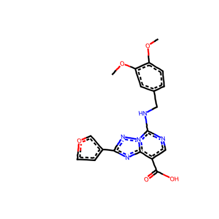 COc1ccc(CNc2ncc(C(=O)O)c3nc(-c4ccoc4)nn23)cc1OC